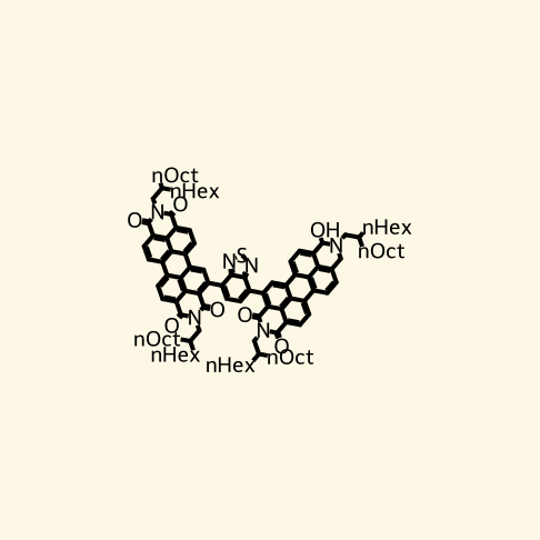 CCCCCCCCC(CCCCCC)CN1C(=O)c2ccc3c4ccc5c6c(c(-c7ccc(-c8cc9c%10ccc%11c%12c(ccc(c%13ccc%14c(c8C(=O)N(CC(CCCCCC)CCCCCCCC)C%14=O)c%139)c%12%10)CN(CC(CCCCCC)CCCCCCCC)C%11O)c8nsnc78)cc(c7ccc(c2c37)C1=O)c64)C(=O)N(CC(CCCCCC)CCCCCCCC)C5=O